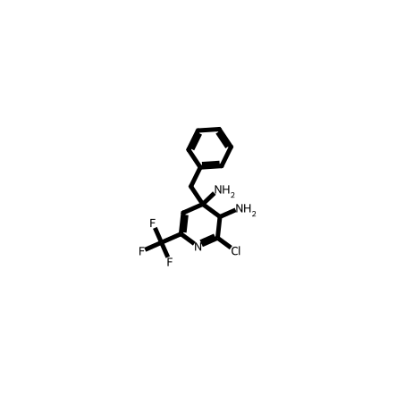 NC1C(Cl)=NC(C(F)(F)F)=CC1(N)Cc1ccccc1